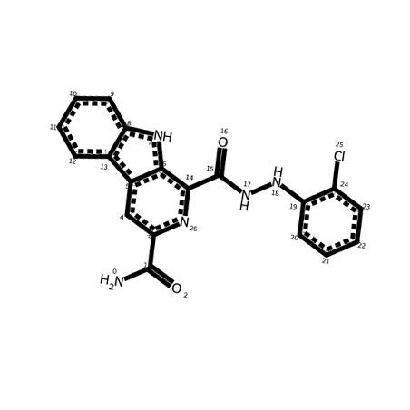 NC(=O)c1cc2c([nH]c3ccccc32)c(C(=O)NNc2ccccc2Cl)n1